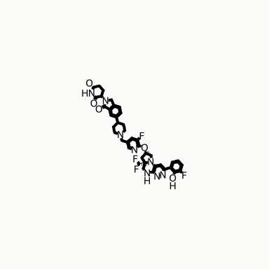 O=C1CCC(N2Cc3ccc(C4CCN(Cc5cnc(O[C@H]6CN7c8cc(-c9cccc(F)c9O)nnc8NC[C@@]7(C(F)F)C6)c(F)c5)CC4)cc3C2=O)C(=O)N1